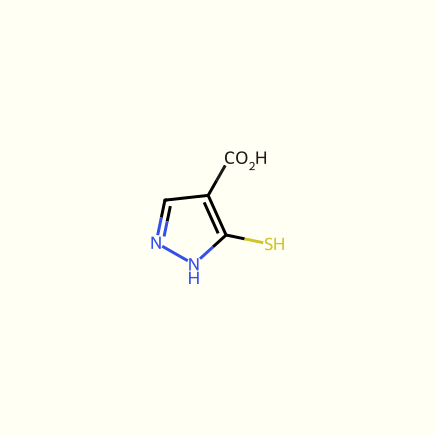 O=C(O)c1cn[nH]c1S